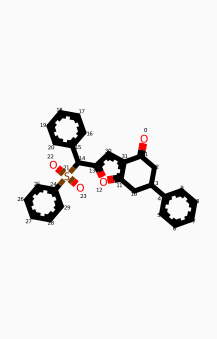 O=C1CC(c2ccccc2)Cc2oc(C(c3ccccc3)S(=O)(=O)c3ccccc3)cc21